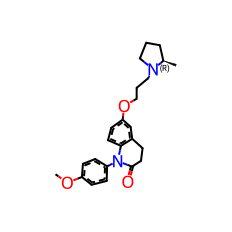 COc1ccc(N2C(=O)CCc3cc(OCCCN4CCC[C@H]4C)ccc32)cc1